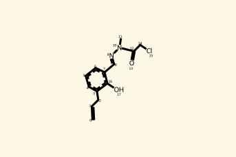 C=CCc1cccc(/C=N/N(C)C(=O)CCl)c1O